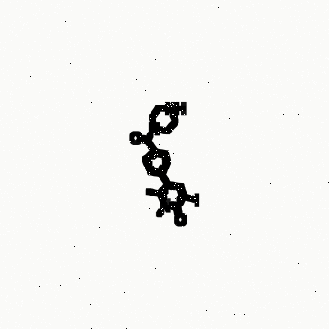 Cc1c(-c2ccc(C(=O)N3CCNCC3)cc2)cc(I)c(=O)n1C